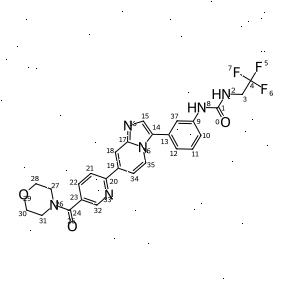 O=C(NCC(F)(F)F)Nc1cccc(-c2cnc3cc(-c4ccc(C(=O)N5CCOCC5)cn4)ccn23)c1